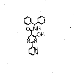 O=C(NC(c1ccccc1)c1ccccc1)c1cnc(-c2cccnn2)nc1O